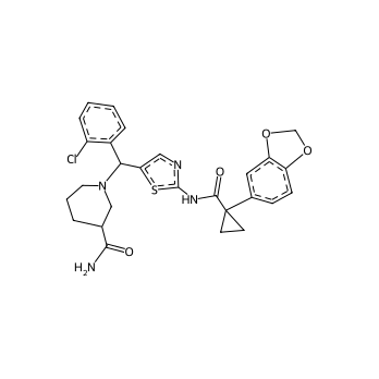 NC(=O)C1CCCN(C(c2cnc(NC(=O)C3(c4ccc5c(c4)OCO5)CC3)s2)c2ccccc2Cl)C1